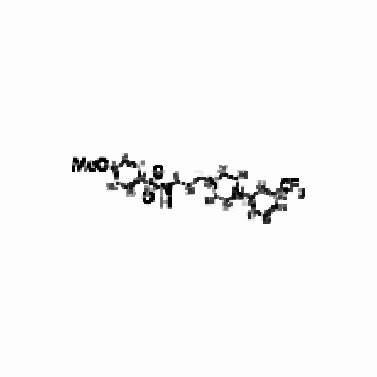 COc1ccc(S(=O)(=O)NCCCN2CCN(c3cccc(C(F)(F)F)c3)CC2)cc1